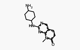 Cn1c(=O)ccc2cnc(NC3CCC(N)CC3)nc21